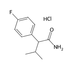 CC(C)C(C(N)=O)c1ccc(F)cc1.Cl